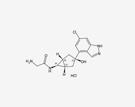 Cl.NCC(=O)N[C@H]1[C@@H]2C[C@](O)(c3cc(Cl)cc4[nH]ncc34)C[C@@H]21